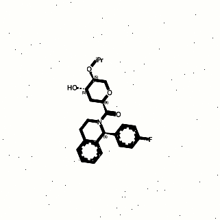 CC(C)O[C@H]1CO[C@@H](C(=O)N2CCc3ccccc3[C@@H]2c2ccc(F)cc2)C[C@@H]1O